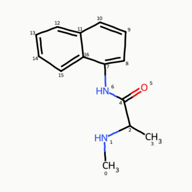 CNC(C)C(=O)Nc1cccc2ccccc12